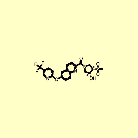 CS(=O)(=O)[C@@H]1CN(C(=O)c2ccc3cc(Oc4ccc(C(F)(F)F)cn4)ccc3n2)C[C@H]1O